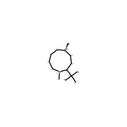 C[C@@H]1CCCCN(C)C(C(C)(C)C)CC1